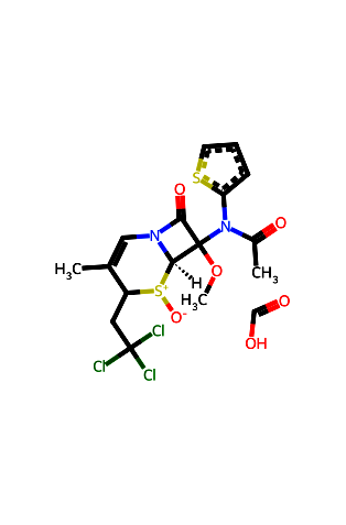 COC1(N(C(C)=O)c2cccs2)C(=O)N2C=C(C)C(CC(Cl)(Cl)Cl)[S+]([O-])[C@@H]21.O=CO